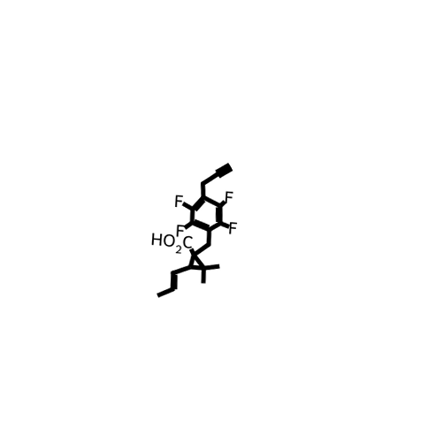 C#CCc1c(F)c(F)c(CC2(C(=O)O)C(C=CC)C2(C)C)c(F)c1F